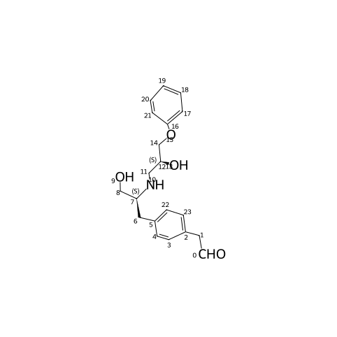 O=CCc1ccc(C[C@@H](CO)NC[C@H](O)COc2ccccc2)cc1